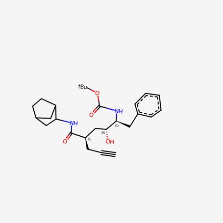 C#CC[C@H](C[C@@H](O)[C@H](Cc1ccccc1)NC(=O)OC(C)(C)C)C(=O)NC1CC2CCC1C2